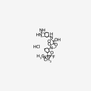 CN(C)C(=O)c1cccc(N2CCO[C@H]([C@@H](O)C(=O)Nc3ccc4c(c3)CNC4=N)C2=O)c1OC(F)F.Cl